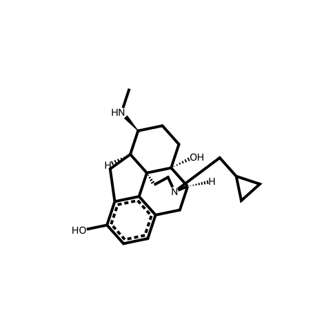 CN[C@H]1CC[C@@]2(O)[C@H]3Cc4ccc(O)c5c4[C@@]2(CCN3CC2CC2)[C@H]1C5